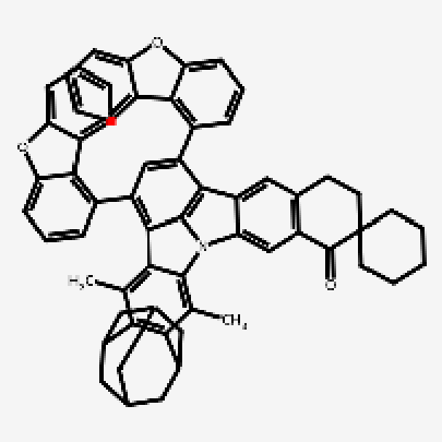 Cc1c2c(c(C)c3c1c1c(-c4cccc5oc6ccccc6c45)cc(-c4cccc5oc6ccccc6c45)c4c5cc6c(cc5n3c41)C(=O)C1(CCCCC1)CC6)C1CC3CC(CC2C3)C1